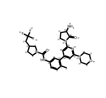 Cc1ccc(NC(=O)N2CCC(CC(F)(F)F)C2)cc1-c1cc(N2CCOCC2)nc(N2CCC(N)C2=O)c1